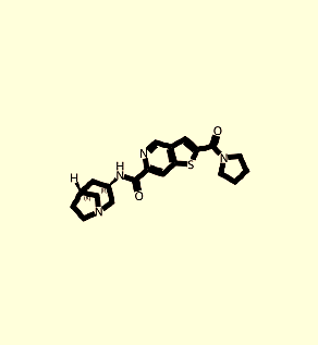 O=C(N[C@@H]1C[C@H]2CCN(C2)C1)c1cc2sc(C(=O)N3CCCC3)cc2cn1